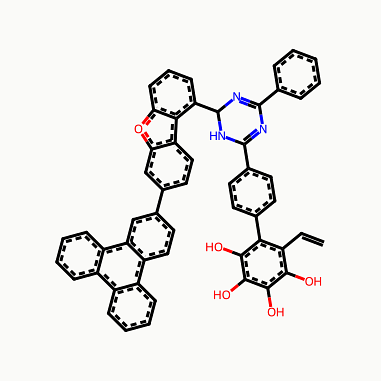 C=Cc1c(O)c(O)c(O)c(O)c1-c1ccc(C2=NC(c3ccccc3)=NC(c3cccc4oc5cc(-c6ccc7c8ccccc8c8ccccc8c7c6)ccc5c34)N2)cc1